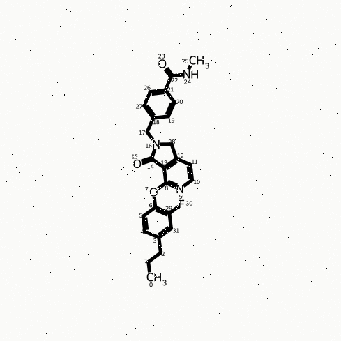 CCCc1ccc(Oc2nccc3c2C(=O)N(Cc2ccc(C(=O)NC)cc2)C3)c(F)c1